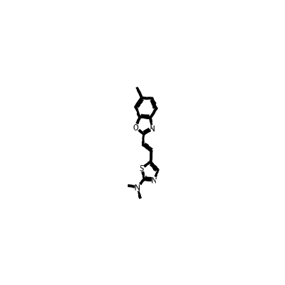 Cc1ccc2nc(/C=C/c3cnc(N(C)C)s3)oc2c1